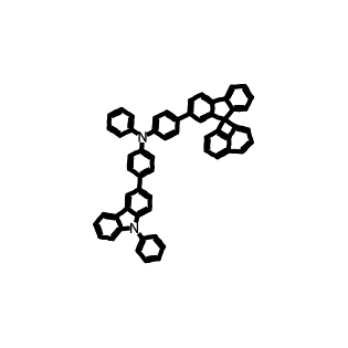 c1ccc(N(c2ccc(-c3ccc4c(c3)C3(c5ccccc5-4)c4cccc5cccc3c45)cc2)c2ccc(-c3ccc4c(c3)c3ccccc3n4-c3ccccc3)cc2)cc1